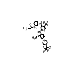 C=CC(=O)Nc1cccc(Nc2nc(Nc3ccc(N4CCN(C(=O)C(F)(F)F)CC4)nc3OC)ncc2C(F)(F)F)c1